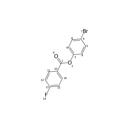 O=C(Oc1ccc(Br)cc1)c1ccc(F)cc1